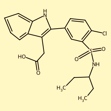 CCC(CC)NS(=O)(=O)c1cc(-c2[nH]c3ccccc3c2CC(=O)O)ccc1Cl